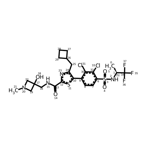 C[C@H](NS(=O)(=O)c1ccc(-c2sc(C(=O)NCC3(O)CN(C)C3)nc2CC2CCC2)c(Cl)c1Cl)C(F)(F)F